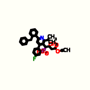 C#COC(=O)CC(O)C(c1c(-c2ccc(F)cc2)cc(-c2ccccc2Cc2ccccc2)nc1C(C)C)[PH](=O)O